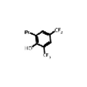 CC(C)c1cc(C(F)(F)F)cc(C(F)(F)F)c1O